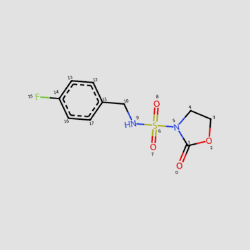 O=C1OCCN1S(=O)(=O)NCc1ccc(F)cc1